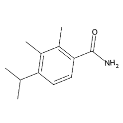 Cc1c(C(N)=O)ccc(C(C)C)c1C